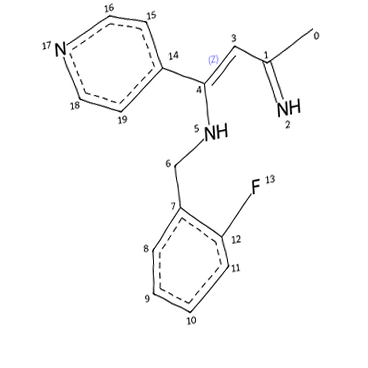 CC(=N)/C=C(\NCc1ccccc1F)c1ccncc1